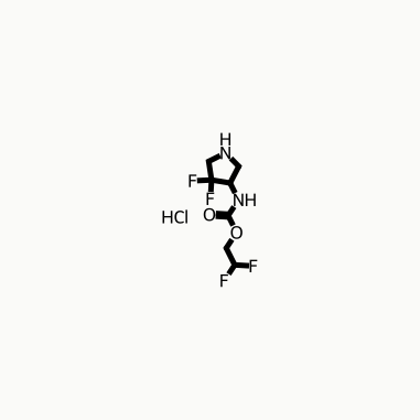 Cl.O=C(NC1CNCC1(F)F)OCC(F)F